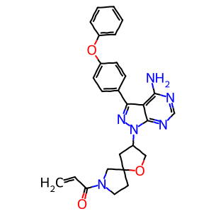 C=CC(=O)N1CCC2(CC(n3nc(-c4ccc(Oc5ccccc5)cc4)c4c(N)ncnc43)CO2)C1